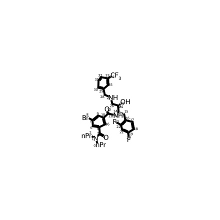 CCCN(CCC)C(=O)c1cc(Br)cc(C(=O)N[C@@H](Cc2ccc(F)cc2F)[C@H](O)CNCc2cccc(C(F)(F)F)c2)c1